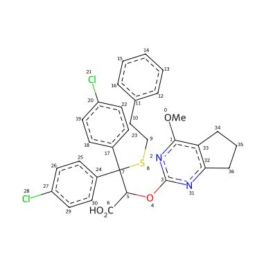 COc1nc(OC(C(=O)O)C(SCCc2ccccc2)(c2ccc(Cl)cc2)c2ccc(Cl)cc2)nc2c1CCC2